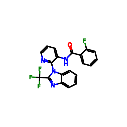 O=C(Nc1cccnc1-n1c(C(F)(F)F)nc2ccccc21)c1ccccc1F